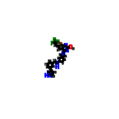 COc1nc(N2CC3(CC[C@H](NCc4cccc(-c5cc[nH]n5)c4)C3)C2)c2cc(CC(F)(F)F)sc2n1